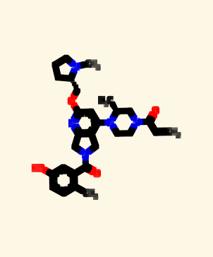 C=CC(=O)N1CCN(c2cc(OC[C@@H]3CCCN3C)nc3c2CN(C(=O)c2cc(O)ccc2C)C3)[C@@H](C)C1